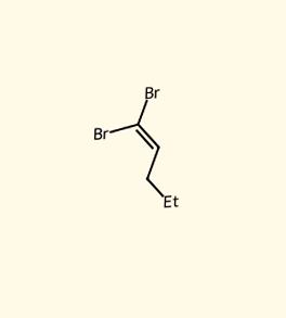 [CH2]CCC=C(Br)Br